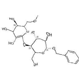 COCC1OC(O[C@@H]2C(CO)O[C@@H](OCc3ccccc3)C(O)[C@H]2O)=C(O)C(O)[C@H]1O